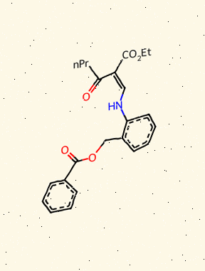 CCCC(=O)C(=CNc1ccccc1COC(=O)c1ccccc1)C(=O)OCC